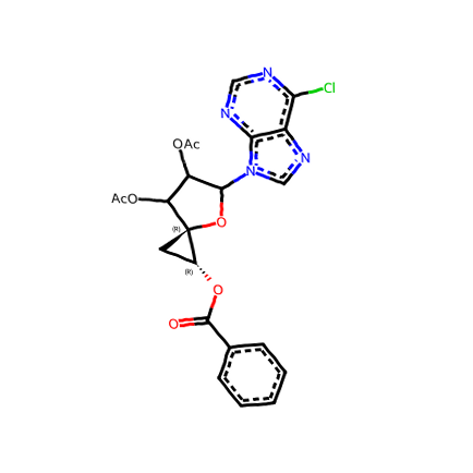 CC(=O)OC1C(n2cnc3c(Cl)ncnc32)O[C@@]2(C[C@H]2OC(=O)c2ccccc2)C1OC(C)=O